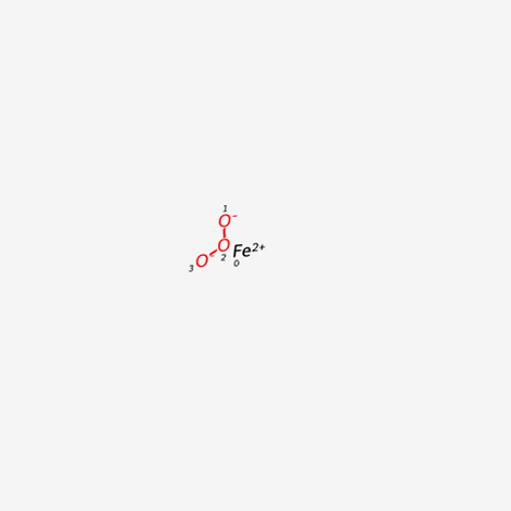 [Fe+2].[O-]O[O-]